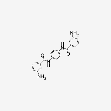 Nc1cccc(C(=O)Nc2ccc(NC(=O)c3cccc(N)c3)cc2)c1